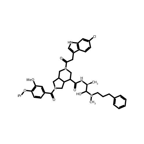 COc1cc(C(=O)N2CC3CN(C(=O)Cc4c[nH]c5cc(Cl)ccc45)CC(C(=O)N[C@@H](C)C(O)N(C)CCCc4ccccc4)C3C2)ccc1OC(C)C